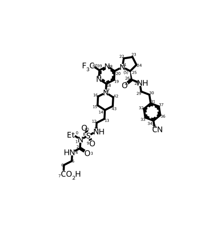 CCN(C(=O)NCCC(=O)O)S(=O)(=O)NCCC1CCN(c2cc(N3CCC[C@H]3C(=O)NCCc3ccc(C#N)cc3)nc(C(F)(F)F)n2)CC1